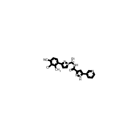 CC[C@H](NC(=O)c1cc(-c2cccnc2)[nH]n1)n1ccc(-c2ccc(C#N)c(Cl)c2C)n1